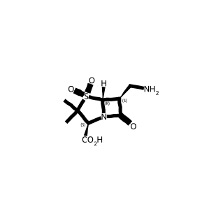 CC1(C)[C@H](C(=O)O)N2C(=O)[C@H](CN)[C@H]2S1(=O)=O